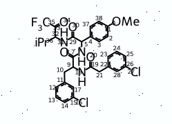 COc1ccc(C(NC(=O)C(Cc2cccc(Cl)c2)NC(=O)Cc2cccc(Cl)c2)C(=O)NC(C(=O)C(F)(F)F)C(C)C)cc1